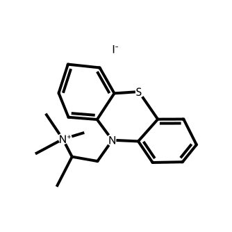 CC(CN1c2ccccc2Sc2ccccc21)[N+](C)(C)C.[I-]